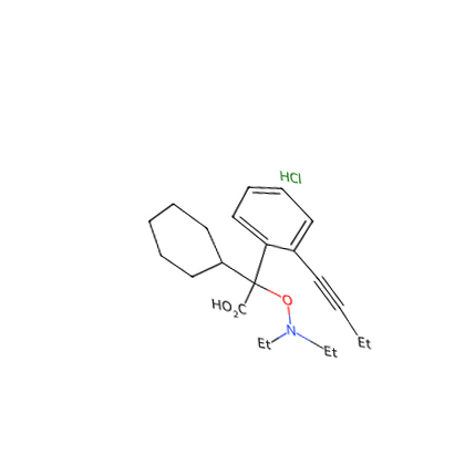 CCC#Cc1ccccc1C(ON(CC)CC)(C(=O)O)C1CCCCC1.Cl